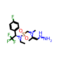 CCN([C@H](c1ccc(F)cc1)C(F)(F)F)S(=O)(=O)CN(C)/C(C)=C\NN